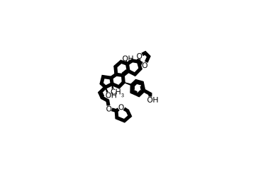 C[C@]12C[C@H](c3ccc(CO)cc3)C3=C4CCC5(C[C@]4(O)CCC3C1CC[C@@]2(O)/C=C\COC1CCCCO1)OCCO5